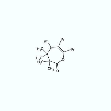 CC(C)C1=C(C(C)C)N(C(C)C)C(C)(C)C(C)(C)C(=O)O1